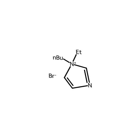 CCCC[N+]1(CC)C=CN=C1.[Br-]